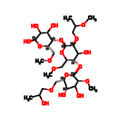 COCC1O[C@@H](O[C@H]2C(O)C(O)[C@H](O)O[C@H]2COC)[C@@H](OCC(C)OC)C(O)[C@@H]1O[C@@H]1O[C@@H](COCC(C)O)[C@@H](O)C(O)C1OC